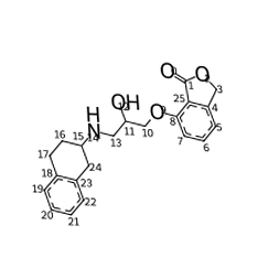 O=C1OCc2cccc(OCC(O)CNC3CCc4ccccc4C3)c21